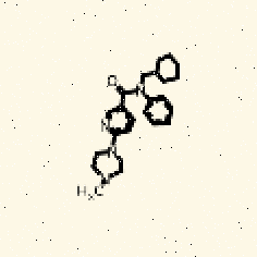 CN1CCN(c2ccc(C(=O)N(CC3CCCCC3)c3ccccc3)cn2)CC1